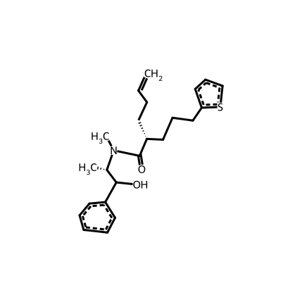 C=CCC[C@H](CCCc1cccs1)C(=O)N(C)[C@@H](C)C(O)c1ccccc1